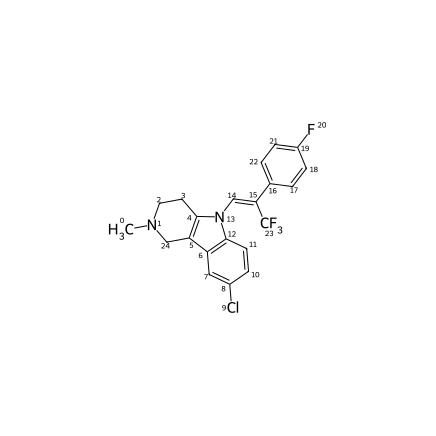 CN1CCc2c(c3cc(Cl)ccc3n2C=C(c2ccc(F)cc2)C(F)(F)F)C1